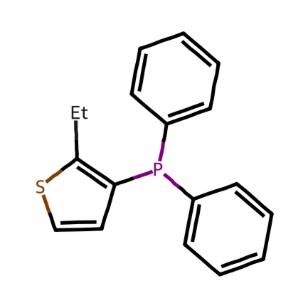 CCc1sccc1P(c1ccccc1)c1ccccc1